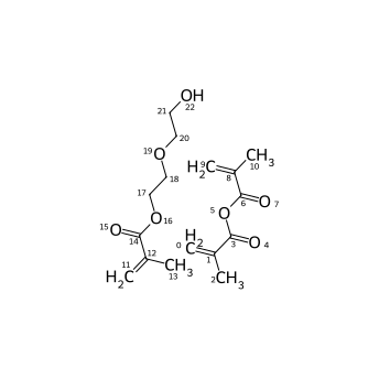 C=C(C)C(=O)OC(=O)C(=C)C.C=C(C)C(=O)OCCOCCO